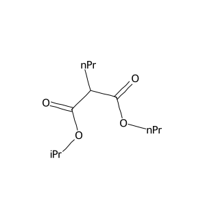 CCCOC(=O)C(CCC)C(=O)OC(C)C